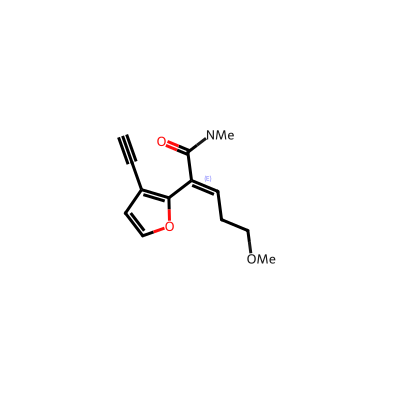 C#Cc1ccoc1/C(=C\CCOC)C(=O)NC